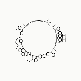 COC1CC2CCC(C)C(O2)C(=O)C(=O)N2CCCCC2C(=O)OCCC(=O)C(C)C=C(C)C(O)(O)C(OC)C(=O)C(C)CC(C)C=CC=CC=C1C